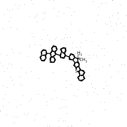 CC1(C)c2ccc(-c3ccc(-c4c5ccccc5c(-c5cccc6ccccc56)c5ccccc45)c4ccccc34)cc2-c2cc3sc4c5ccccc5ccc4c3cc21